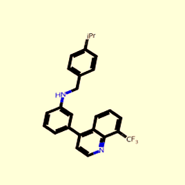 CC(C)c1ccc(CNc2cccc(-c3[c]cnc4c(C(F)(F)F)cccc34)c2)cc1